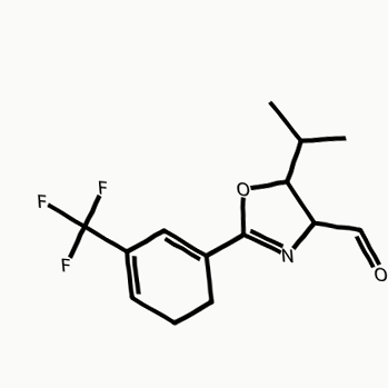 CC(C)C1OC(C2=CC(C(F)(F)F)=CCC2)=NC1C=O